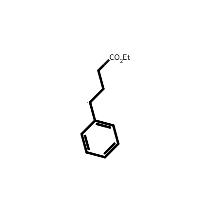 CCOC(=O)CC[CH]c1ccccc1